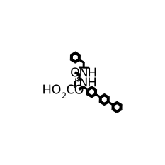 CC(C)(Cc1ccccc1)NC(=O)[C@H](CCC(=O)O)NC(=O)c1ccc(-c2ccc(-c3ccccc3)cc2)cc1